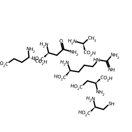 C[C@H](N)C(=O)O.N=C(N)NCCC[C@H](N)C(=O)O.NC(=O)C[C@H](N)C(=O)O.N[C@@H](CC(=O)O)C(=O)O.N[C@@H](CCC(=O)O)C(=O)O.N[C@@H](CS)C(=O)O